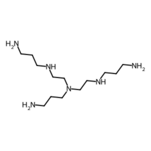 NCCCNCCN(CCCN)CCNCCCN